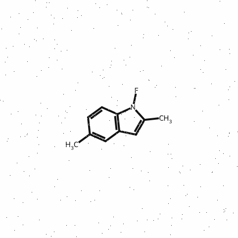 Cc1ccc2c(c1)cc(C)n2F